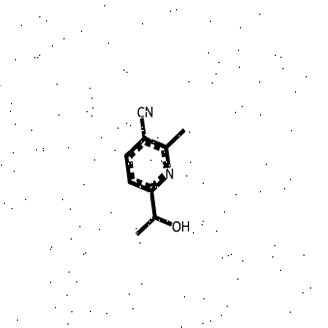 Cc1nc(C(C)O)ccc1C#N